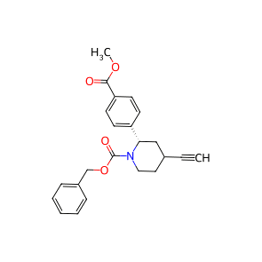 C#CC1CCN(C(=O)OCc2ccccc2)[C@H](c2ccc(C(=O)OC)cc2)C1